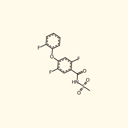 CS(=O)(=O)NC(=O)c1cc(F)c(Oc2ccccc2F)cc1F